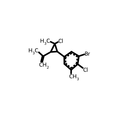 C=C(C)C1C(c2cc(C)c(Cl)c(Br)c2)C1(C)Cl